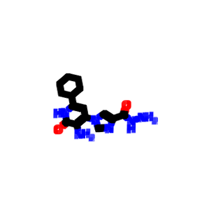 NNC(=O)c1cn(-c2cc(C3CCCCC3)[nH]c(=O)c2N)cn1